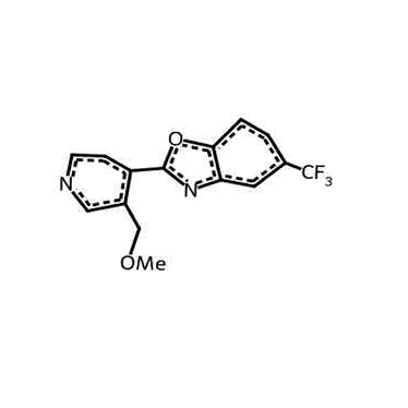 COCc1cnccc1-c1nc2cc(C(F)(F)F)ccc2o1